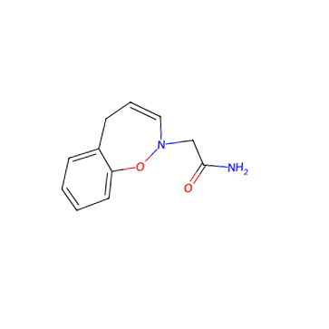 NC(=O)CN1C=CCc2ccccc2O1